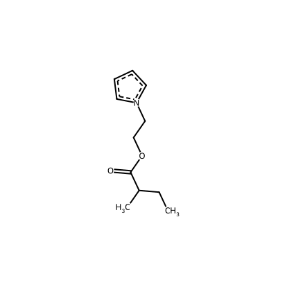 CCC(C)C(=O)OCCn1cccc1